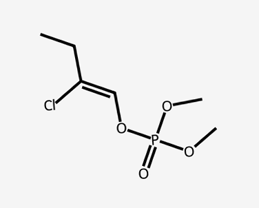 CCC(Cl)=COP(=O)(OC)OC